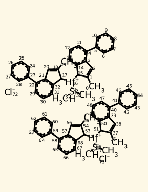 CC1=Cc2c(-c3ccccc3)cccc2[CH]1[Hf+]([CH]1C(C)=Cc2c(-c3ccccc3)cccc21)[SiH](C)C.CC1=Cc2c(-c3ccccc3)cccc2[CH]1[Hf+]([CH]1C(C)=Cc2c(-c3ccccc3)cccc21)[SiH](C)C.[Cl-].[Cl-]